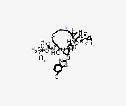 CC(C)(C)OC(=O)N[C@H]1CCCCC/C=C\[C@@H]2C[C@@]2(C(=O)NS(=O)(=O)C2(C)CC2)NC(=O)[C@@H]2C[C@@H](Oc3nc4ccc(Cl)cc4s3)CN2C1=O